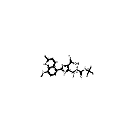 COc1ccc(-c2nc(C(=O)O)c([C@H](C)NC(=O)OC(C)(C)C)o2)c2ccc(C)nc12